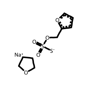 C1CCOC1.O=S(=O)([S-])OCc1ccco1.[Na+]